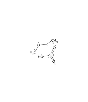 CCOC.O=[SH](=O)O